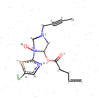 C=CCCC(=O)OC1CN(CC#CC)C[N+]1([O-])c1ncc(Br)s1